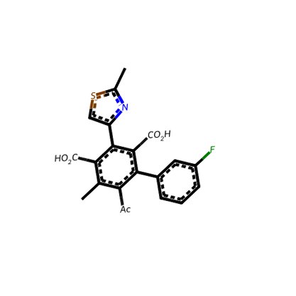 CC(=O)c1c(C)c(C(=O)O)c(-c2csc(C)n2)c(C(=O)O)c1-c1cccc(F)c1